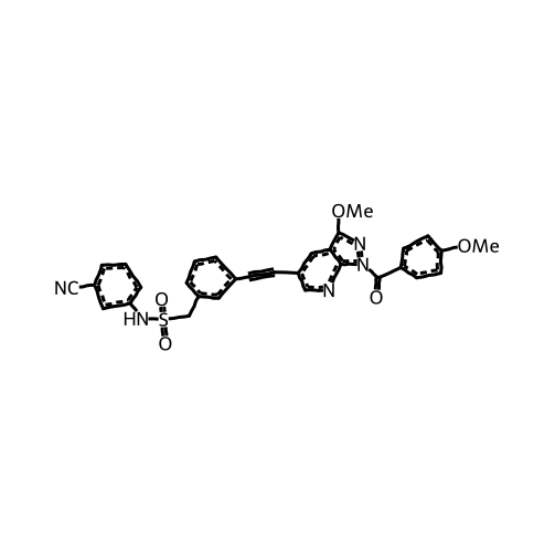 COc1ccc(C(=O)n2nc(OC)c3cc(C#Cc4cccc(CS(=O)(=O)Nc5cccc(C#N)c5)c4)cnc32)cc1